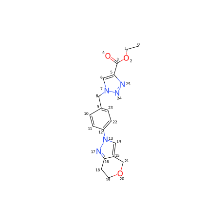 CCOC(=O)c1cn(Cc2ccc(-n3cc4c(n3)CCOC4)cc2)nn1